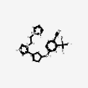 N#Cc1ccc(NC2CC=C(c3cncn3CCn3cccn3)C2)cc1C(F)(F)F